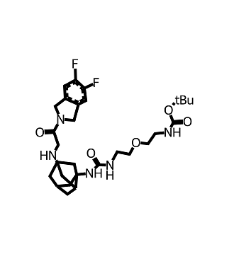 CC(C)(C)OC(=O)NCCOCCNC(=O)NC12CC3CC1CC(NCC(=O)N1Cc4cc(F)c(F)cc4C1)(C3)C2